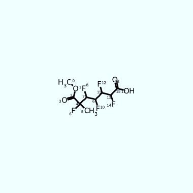 COC(=O)C(C)(F)C(F)C(F)C(F)C(F)C(=O)O